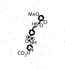 COc1ccc(Cl)c(C(=O)NCCc2ccc(S(=O)(=O)C(=O)Nc3ccc(C(=O)O)nc3)cc2)c1